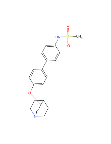 CS(=O)(=O)Nc1ccc(-c2ccc(OC3CN4CCC3CC4)cc2)cc1